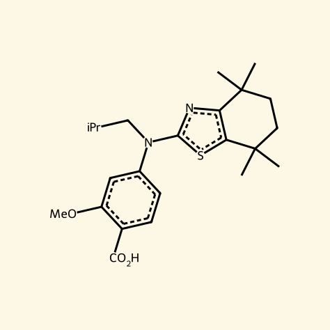 COc1cc(N(CC(C)C)c2nc3c(s2)C(C)(C)CCC3(C)C)ccc1C(=O)O